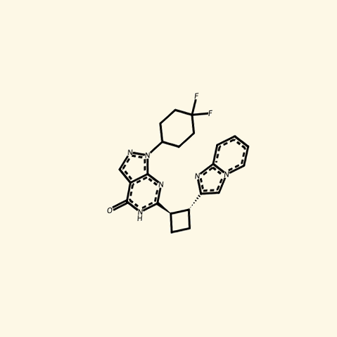 O=c1[nH]c([C@@H]2CC[C@H]2c2cn3ccccc3n2)nc2c1cnn2C1CCC(F)(F)CC1